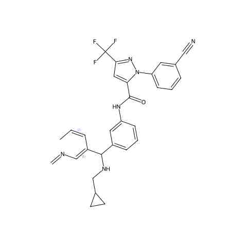 C=N/C=C(\C=C/C)C(NCC1CC1)c1cccc(NC(=O)c2cc(C(F)(F)F)nn2-c2cccc(C#N)c2)c1